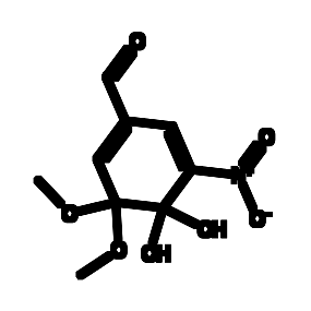 COC1(OC)C=C(C=O)C=C([N+](=O)[O-])C1(O)O